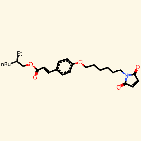 CCCCC(CC)COC(=O)/C=C/c1ccc(OCCCCCCN2C(=O)C=CC2=O)cc1